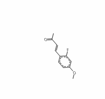 COc1ccc(C=CC(C)=O)c(F)c1